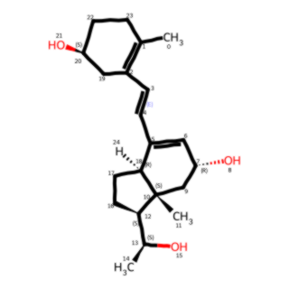 CC1=C(/C=C/C2=C[C@H](O)C[C@]3(C)[C@@H]([C@H](C)O)CC[C@@H]23)C[C@@H](O)CC1